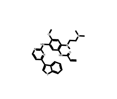 C=CC(=O)Nc1cc(Nc2nccc(-c3csc4ccccc34)n2)c(OC)cc1N(C)CCN(C)C